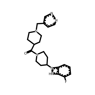 O=C(C1CCN(Cc2ccnnc2)CC1)N1CCC(n2[nH]c3c(F)cccc32)CC1